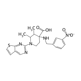 CC1C(C)C(NCc2cccc([N+](=O)[O-])c2)(C(=O)O)CCN1c1ncc2ccsc2n1